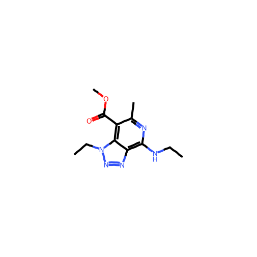 CCNc1nc(C)c(C(=O)OC)c2c1nnn2CC